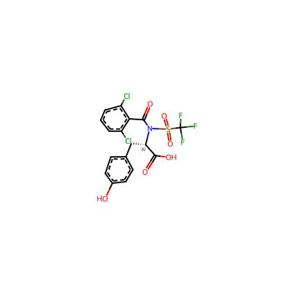 O=C(O)[C@H](Cc1ccc(O)cc1)N(C(=O)c1c(Cl)cccc1Cl)S(=O)(=O)C(F)(F)F